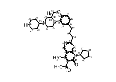 CC(=O)c1c(C)c2cnc(CCCc3ccc4c(c3)N3CCN(C5CCNCC5)C[C@H]3CO4)nc2n(C2CCCC2)c1=O